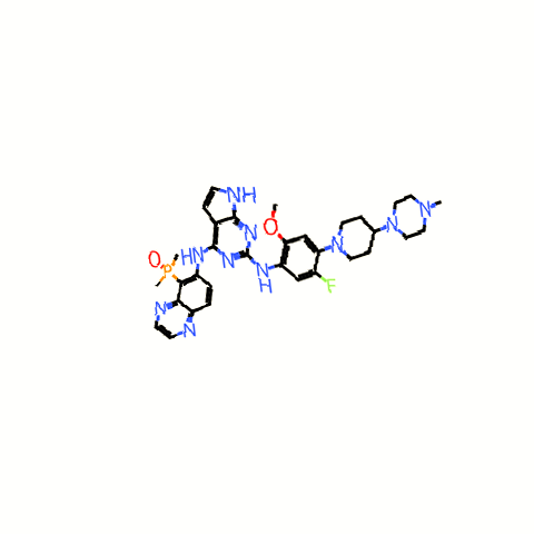 COc1cc(N2CCC(N3CCN(C)CC3)CC2)c(F)cc1Nc1nc(Nc2ccc3nccnc3c2P(C)(C)=O)c2cc[nH]c2n1